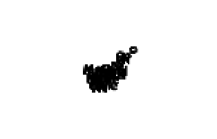 COc1cc(N2CCN(C(=O)CN3CCC(c4ccccc4)CC3)CC2)c(-c2cnn(C)c2)cc1Nc1ncc(Br)c(Nc2ccc3nccnc3c2P(=O)(OC)OC)n1